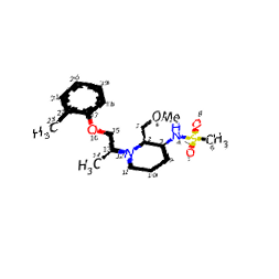 COC[C@H]1[C@@H](NS(C)(=O)=O)CCCN1[C@@H](C)COc1ccccc1C